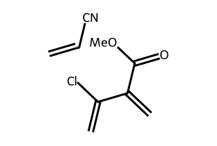 C=C(Cl)C(=C)C(=O)OC.C=CC#N